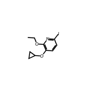 CCOc1nc(I)ccc1OC1CC1